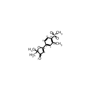 Cc1cc(C2=CC(=O)C(C)(C)O2)ccc1S(C)(=O)=O